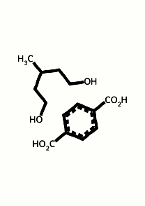 CC(CCO)CCO.O=C(O)c1ccc(C(=O)O)cc1